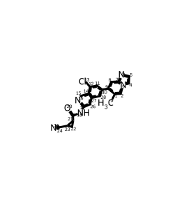 Cc1cn2ccnc2cc1-c1cc(Cl)c2cnc(NC(=O)C3CC3C#N)cc2c1